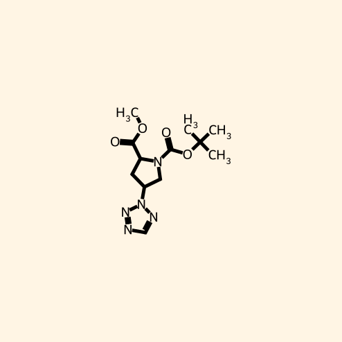 COC(=O)C1CC(n2ncnn2)CN1C(=O)OC(C)(C)C